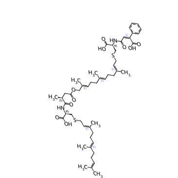 CC(C)=CCC/C(C)=C/CC/C(C)=C/CSC[C@H](NC(=O)[C@@H](C)CC(=O)OC/C(C)=C/CC/C(C)=C/CC/C(C)=C/CSC[C@H](NC(=O)/C=C(\C(=O)O)c1ccccc1)C(=O)O)C(=O)O